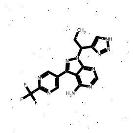 CCC(c1c[nH]nn1)n1nc(-c2cnc(C(F)(F)F)nc2)c2c(N)ncnc21